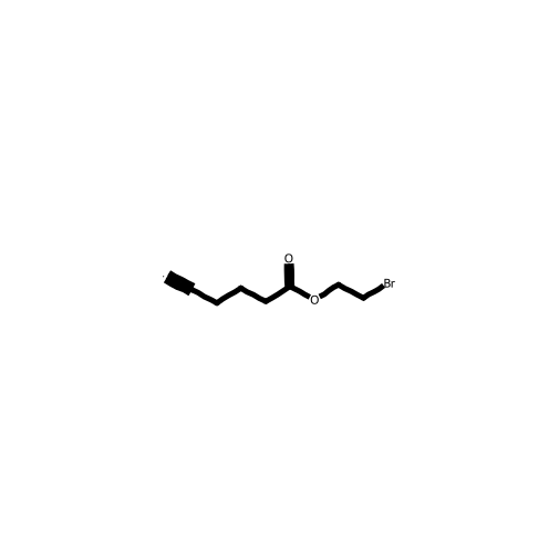 [C]#CCCCC(=O)OCCBr